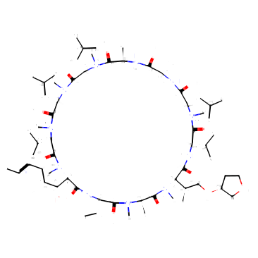 C/C=C/C[C@@H](C)[C@@H](O)[C@H]1C(=O)N[C@@H](CC)C(=O)N(C)[C@H](C)C(=O)N(C)[C@@H]([C@H](C)CO[C@H]2CCOC2)C(=O)N[C@@H](C(C)C)C(=O)N(C)[C@@H](CC(C)C)C(=O)N[C@@H](C)C(=O)N[C@H](C)C(=O)N(C)[C@@H](CC(C)C)C(=O)N(C)[C@@H](CC(C)C)C(=O)N(C)[C@@H](C(C)C)C(=O)N1C